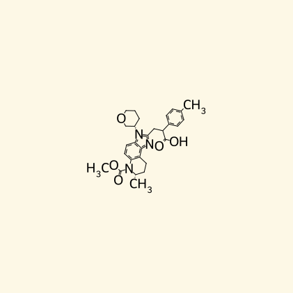 COC(=O)N1c2ccc3c(nc(CC(C(=O)O)c4ccc(C)cc4)n3[C@H]3CCCOC3)c2CC[C@@H]1C